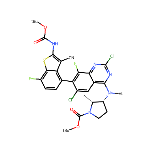 CCN(c1nc(Cl)nc2c(F)c(-c3ccc(F)c4sc(NC(=O)OC(C)(C)C)c(C#N)c34)c(Cl)cc12)[C@@H]1CCN(C(=O)OC(C)(C)C)[C@@H]1C